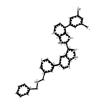 Oc1cc(F)cc(-c2ccnc3[nH]c(-c4n[nH]c5ncc(-c6cncc(CNCc7ccccc7)c6)cc45)nc23)c1